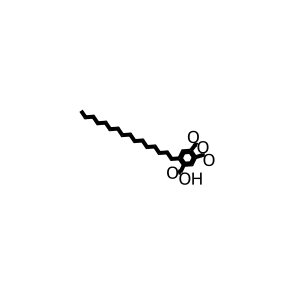 CCCCCCCCCCCCCCCCc1cc2c(cc1C(=O)O)C(=O)OC2=O